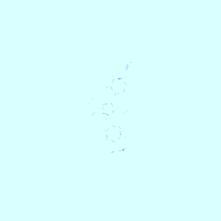 CS(=N)(=O)c1ccc(-n2ncc(-c3ccc(C#N)cc3)c2O)nc1.O=CO